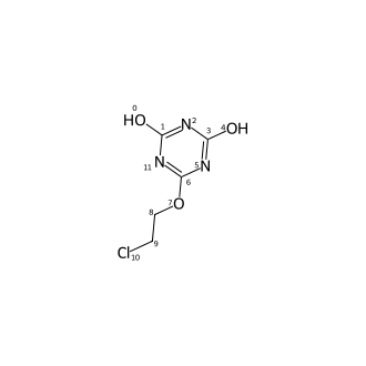 Oc1nc(O)nc(OCCCl)n1